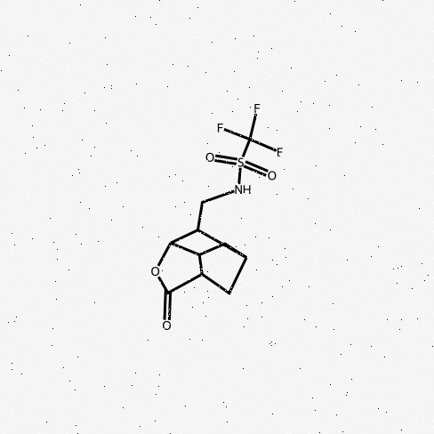 O=C1OC2C(CNS(=O)(=O)C(F)(F)F)C3CC1C2C3